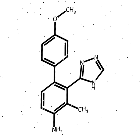 COc1ccc(-c2ccc(N)c(C)c2-c2nnc[nH]2)cc1